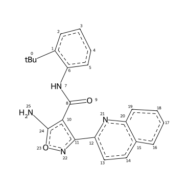 CC(C)(C)c1ccccc1NC(=O)c1c(-c2ccc3ccccc3n2)noc1N